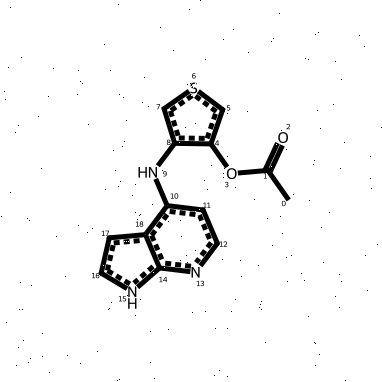 CC(=O)Oc1cscc1Nc1ccnc2[nH]ccc12